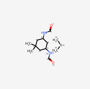 CC1(C)CC(NC=O)CC(NC=O)C1.[CH3][Ti][CH3]